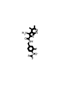 Cc1nnc2sc(C(=O)NCc3ccc([S+]([O-])C(F)F)c(F)c3)c(N)c2c1C